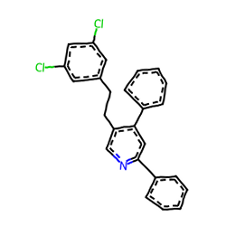 Clc1cc(Cl)cc(CCc2cnc(-c3ccccc3)cc2-c2ccccc2)c1